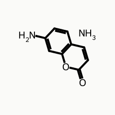 N.Nc1ccc2ccc(=O)oc2c1